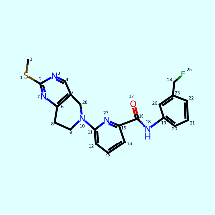 CSc1ncc2c(n1)CCN(c1cccc(C(=O)Nc3cccc(CF)c3)n1)C2